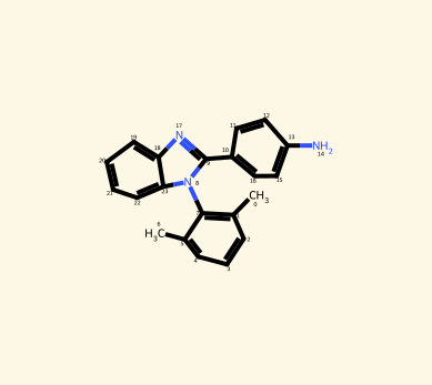 Cc1cccc(C)c1-n1c(-c2ccc(N)cc2)nc2ccccc21